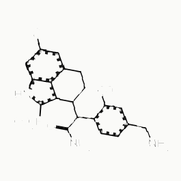 NCc1ccc(C(C(N)=O)C2CCc3cc(Cl)cc4[nH]c(C(=O)O)c2c34)c(C(=O)O)c1